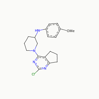 COc1ccc(NC2CCCN(c3nc(Cl)nc4c3CCC4)C2)cc1